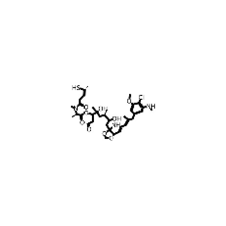 CNc1cc(C/C(C)=C/C=C/C2OCOC2(N)CC(O)[C@H](C)CC(C)(O)C(CC=O)OC(=O)[C@@H](C)N(C)C(=O)CC[C@@H](C)S)cc(OC)c1Cl